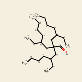 CCCCC(CC)CC([C]=O)(CC(CC)CCCC)CC(CC)CCCC